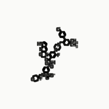 CC1(C)CCC(CN2CCN(c3cc(N4CCOc5nc6[nH]ccc6cc54)c(C(=O)NS(=O)(=O)c4ccc(NCC5(F)CCOCC5)c([N+](=O)[O-])c4)cc3F)CC2)=C(c2ccc(Cl)cc2)C1